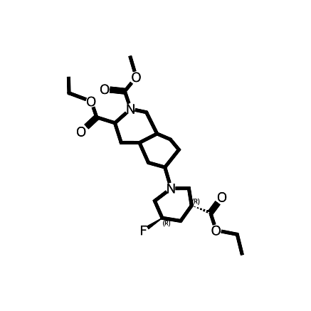 CCOC(=O)C1CC2CC(N3C[C@H](F)C[C@@H](C(=O)OCC)C3)CCC2CN1C(=O)OC